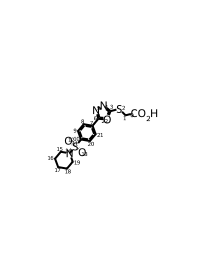 O=C(O)CSc1nnc(-c2ccc(S(=O)(=O)N3CCCCC3)cc2)o1